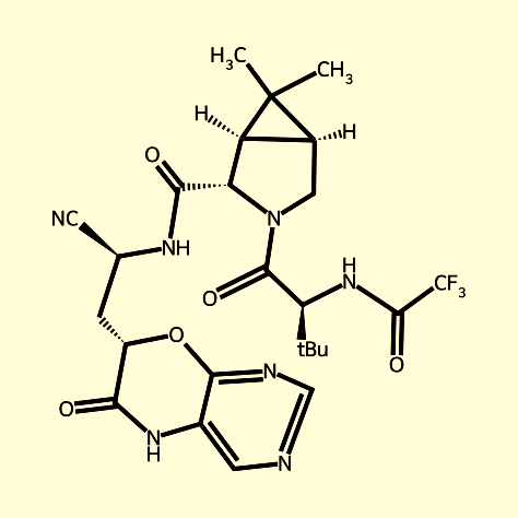 CC(C)(C)[C@H](NC(=O)C(F)(F)F)C(=O)N1C[C@H]2[C@@H]([C@H]1C(=O)N[C@H](C#N)C[C@@H]1Oc3ncncc3NC1=O)C2(C)C